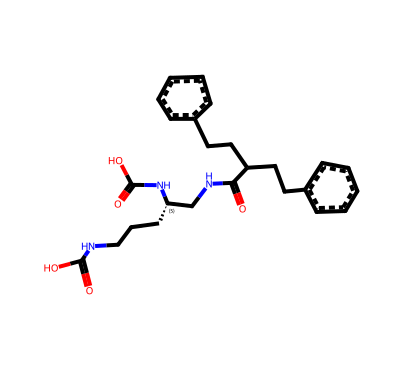 O=C(O)NCCC[C@@H](CNC(=O)C(CCc1ccccc1)CCc1ccccc1)NC(=O)O